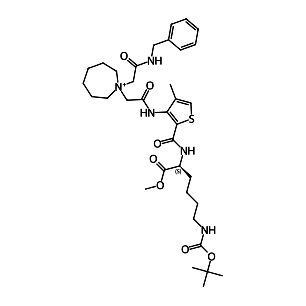 COC(=O)[C@H](CCCCNC(=O)OC(C)(C)C)NC(=O)c1scc(C)c1NC(=O)C[N+]1(CC(=O)NCc2ccccc2)CCCCCC1